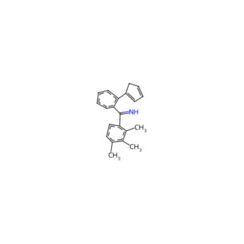 Cc1ccc(C(=N)c2ccccc2C2=CC=CC2)c(C)c1C